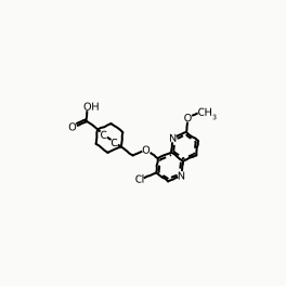 COc1ccc2ncc(Cl)c(OCC34CCC(C(=O)O)(CC3)CC4)c2n1